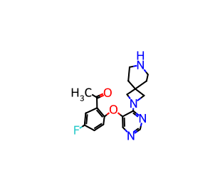 CC(=O)c1cc(F)ccc1Oc1cncnc1N1CC2(CCNCC2)C1